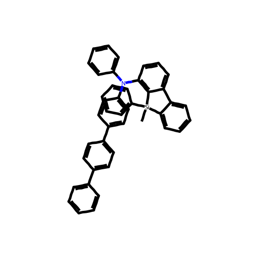 C[Si]1(c2ccccc2)c2ccccc2-c2cccc(N(c3ccccc3)c3ccc(-c4ccc(-c5ccccc5)cc4)cc3)c21